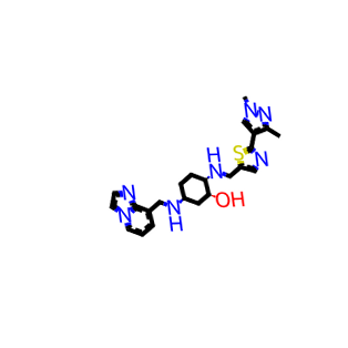 Cc1nn(C)cc1-c1ncc(CN[C@H]2CC[C@H](NCc3cccn4ccnc34)C[C@H]2O)s1